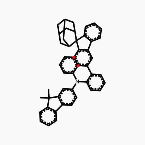 CC1(C)c2ccccc2-c2ccc(N(c3ccccc3)c3ccccc3-c3ccc4c(c3)-c3ccccc3C43C4CC5CC(C4)CC3C5)cc21